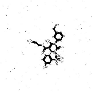 C=CCOC(=O)C1=C(C)N(c2cccc(CF)c2)C(=O)N(C)[C@@H]1c1ccc(C#N)cc1S(C)(=O)=O